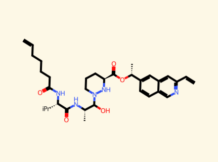 C=CCCCCC(=O)N[C@H](C(=O)N[C@@H](C)C(O)N1CCC[C@@H](C(=O)O[C@H](C)c2ccc3cnc(C=C)cc3c2)N1)C(C)C